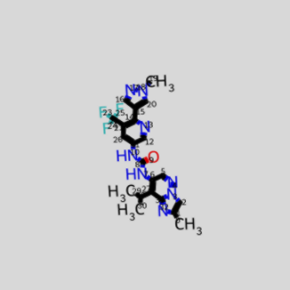 Cc1cn2ncc(NC(=O)Nc3cnc(-c4cnn(C)c4)c(C(F)(F)F)c3)c(C(C)C)c2n1